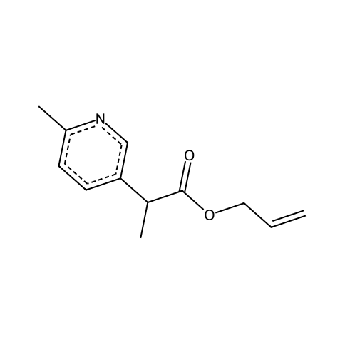 C=CCOC(=O)C(C)c1ccc(C)nc1